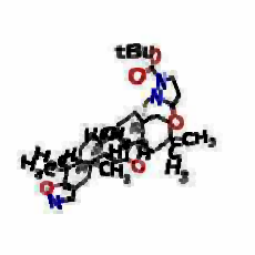 CC1(C)CC[C@]2(CN3C(=O)CCN3C(=O)OC(C)(C)C)CC[C@]3(C)[C@H](C(=O)C=C4[C@@]5(C)Cc6cnoc6C(C)(C)[C@@H]5CC[C@]43C)[C@@H]2C1